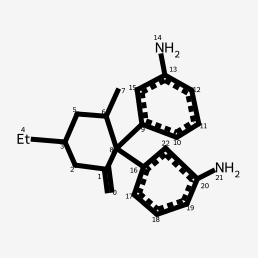 C=C1CC(CC)CC(C)C1(c1cccc(N)c1)c1cccc(N)c1